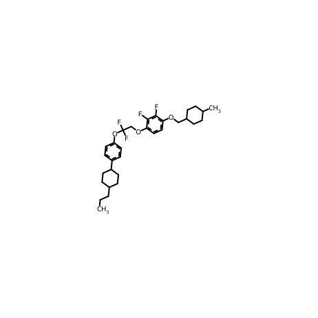 CCCC1CCC(c2ccc(OC(F)(F)COc3ccc(OCC4CCC(C)CC4)c(F)c3F)cc2)CC1